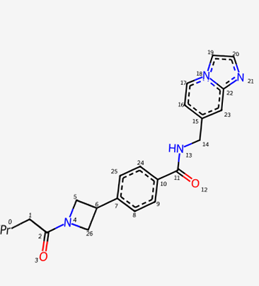 CC(C)CC(=O)N1CC(c2ccc(C(=O)NCc3ccn4ccnc4c3)cc2)C1